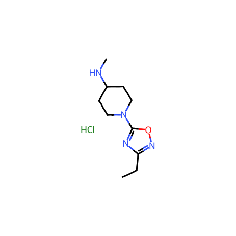 CCc1noc(N2CCC(NC)CC2)n1.Cl